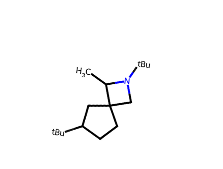 CC1N(C(C)(C)C)CC12CCC(C(C)(C)C)C2